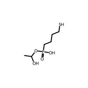 CC(O)OP(=O)(O)CCCCS